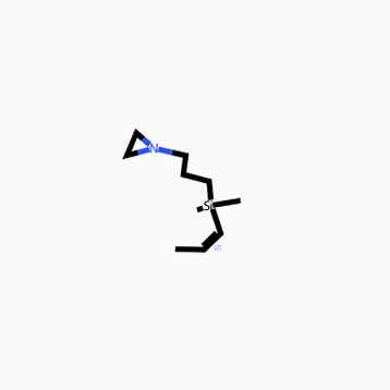 C/C=C\[Si](C)(C)CCCN1CC1